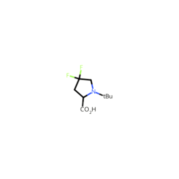 CC(C)(C)N1CC(F)(F)CC1C(=O)O